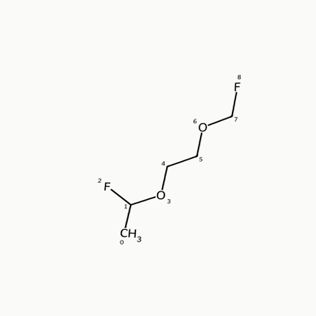 CC(F)OCCOCF